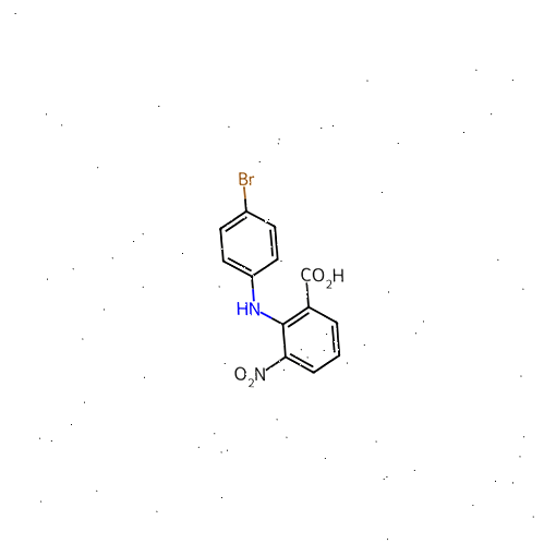 O=C(O)c1cccc([N+](=O)[O-])c1Nc1ccc(Br)cc1